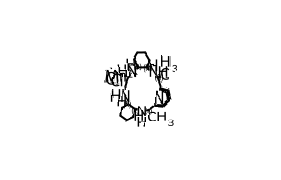 C[C@@H]1N[C@@H]2CCCC[C@H]2NCCN[C@@H]2CCCC[C@H]2N[C@@H](C)c2cccc1n2.[Cl-].[Cl-].[Mn+2]